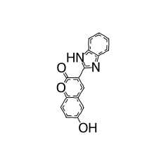 O=c1oc2ccc(O)cc2cc1-c1nc2ccccc2[nH]1